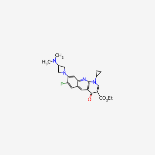 CCOC(=O)c1cn(C2CC2)c2nc3cc(N4CC(N(C)C)C4)c(F)cc3cc2c1=O